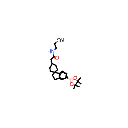 CC1(C)OB(c2ccc3c(c2)CCC32CCC(CC(=O)NCCC#N)CC2)OC1(C)C